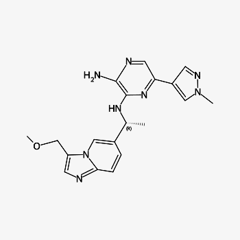 COCc1cnc2ccc([C@@H](C)Nc3nc(-c4cnn(C)c4)cnc3N)cn12